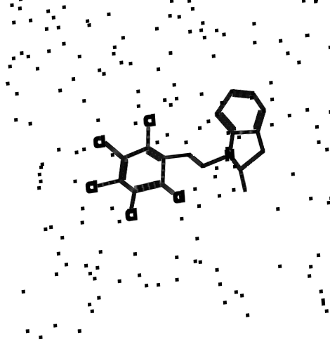 CC1Cc2ccccc2N1CCc1c(Cl)c(Cl)c(Cl)c(Cl)c1Cl